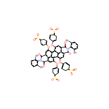 CC(C)c1cccc(C(C)C)c1N1C(=O)c2cc(OC3=CCC(=S(=O)=O)C=C3)c3c4c(OC5=CCC(=S(=O)=O)C=C5)cc5c6c(cc(OC7=CCC(=S(=O)=O)C=C7)c(c7c(OC8=CCC(=S(=O)=O)C=C8)cc(c2c37)C1=O)c64)C(=O)N(c1c(C(C)C)cccc1C(C)C)C5=O